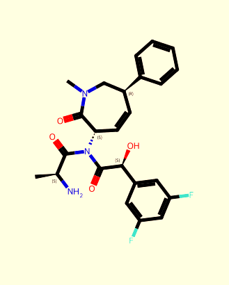 C[C@H](N)C(=O)N(C(=O)[C@@H](O)c1cc(F)cc(F)c1)[C@H]1C=C[C@H](c2ccccc2)CN(C)C1=O